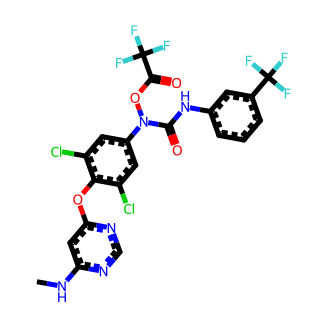 CNc1cc(Oc2c(Cl)cc(N(OC(=O)C(F)(F)F)C(=O)Nc3cccc(C(F)(F)F)c3)cc2Cl)ncn1